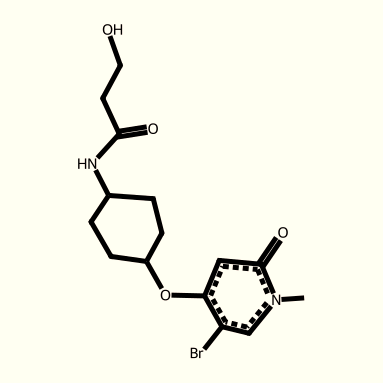 Cn1cc(Br)c(OC2CCC(NC(=O)CCO)CC2)cc1=O